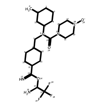 CC1CCCC(N(CC2CCC(C(=N)OC(N)C(F)(F)F)CC2)C(=O)N2CC[S+]([O-])CC2)C1